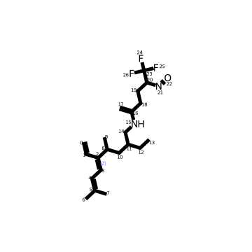 C=C/C(=C\C=C(C)C)C(C)CC(CC)CNC(=C)CCC(N=O)C(F)(F)F